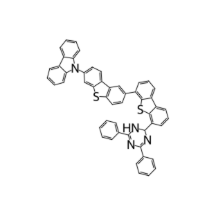 c1ccc(C2=NC(c3cccc4c3sc3c(-c5ccc6sc7cc(-n8c9ccccc9c9ccccc98)ccc7c6c5)cccc34)NC(c3ccccc3)=N2)cc1